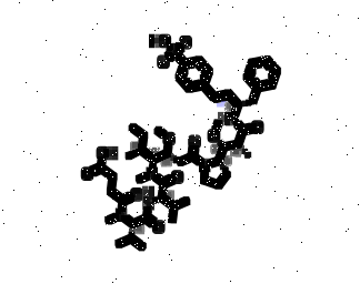 CC[C@H](C)[C@@H]([C@@H](CC(=O)N1CCC[C@H]1[C@H](OC)[C@@H](C)C(=O)N[C@H](/C=C/c1ccc(S(=O)(=O)O)cc1)Cc1ccccc1)OC)N(C)C(=O)[C@@H](NC(=O)[C@H](C(C)C)N(C)C(=O)CCC(=O)O)C(C)C